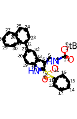 CC(C)(C)OC(=O)NCc1c(S(=O)(=O)c2ccccc2)[nH]c2ccc(-c3cccc4ccccc34)cc12